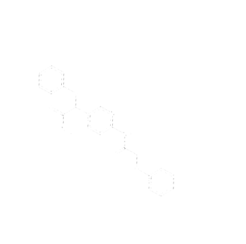 NC(=O)C(Oc1ccccc1)c1ccc(NC(=O)COc2ccccc2)nc1